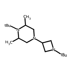 CC1CN(C2CN(C(C)(C)C)C2)CC(C)N1C(C)(C)C